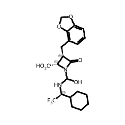 O=C(O)[C@@H]1[C@@H](Cc2cccc3c2OCO3)C(=O)N1C(O)N[C@@H](C1CCCCC1)C(F)(F)F